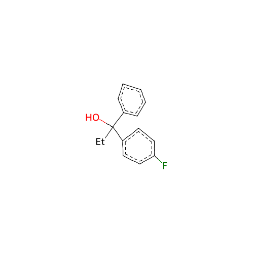 CCC(O)(c1ccccc1)c1ccc(F)cc1